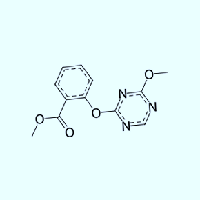 COC(=O)c1ccccc1Oc1ncnc(OC)n1